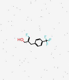 OCC(=CF)Cc1ccc(C(F)(F)F)cc1